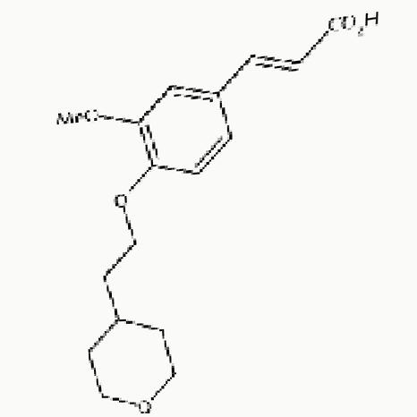 COc1cc(/C=C/C(=O)O)ccc1OCCC1CCOCC1